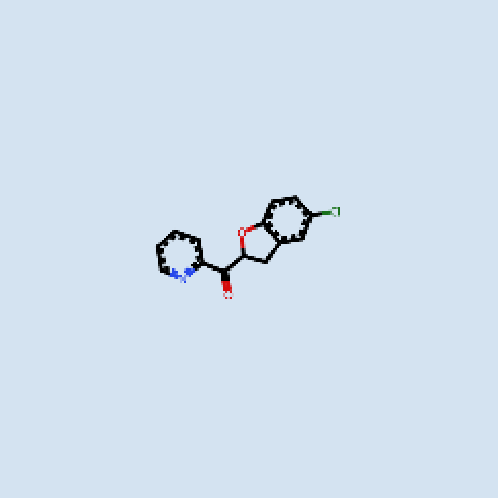 O=C(c1ccccn1)C1Cc2cc(Cl)ccc2O1